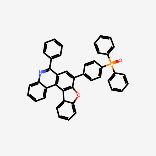 O=P(c1ccccc1)(c1ccccc1)c1ccc(-c2cc3c(-c4ccccc4)nc4ccccc4c3c3c2oc2ccccc23)cc1